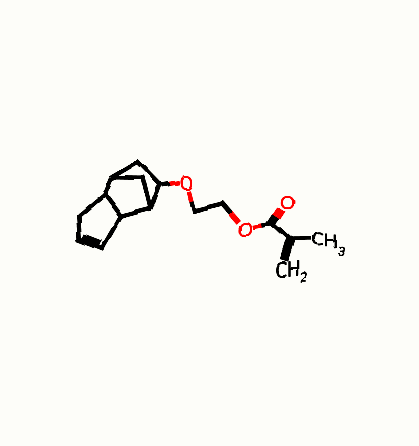 C=C(C)C(=O)OCCOC1CC2CC1C1C=CCC21